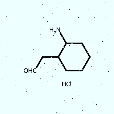 Cl.NC1CCCCC1CC=O